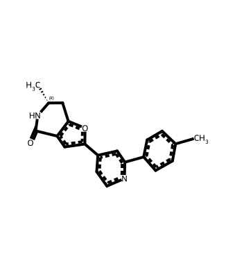 Cc1ccc(-c2cc(-c3cc4c(o3)C[C@@H](C)NC4=O)ccn2)cc1